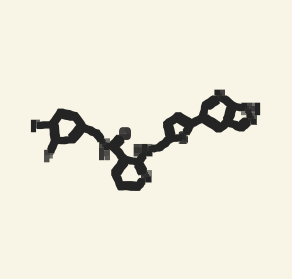 O=C(NCc1ccc(F)c(F)c1)c1cccnc1NCc1ccc(-c2cnc3[nH]ncc3c2)s1